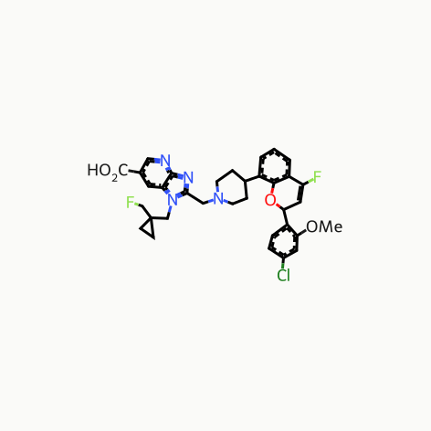 COc1cc(Cl)ccc1C1C=C(F)c2cccc(C3CCN(Cc4nc5ncc(C(=O)O)cc5n4CC4(CF)CC4)CC3)c2O1